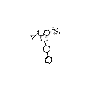 CS(=O)(=O)N[C@H]1CCN(C(=O)NC2CC2)[C@H]1COC1CCC(c2ccccc2)CC1